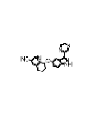 N#Cc1cnc2c(c1)CCC[C@@H]2Oc1ccc2[nH]nc(-c3cnccn3)c2c1